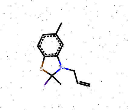 C=CCN1c2cc(C)ccc2SC1(C)I